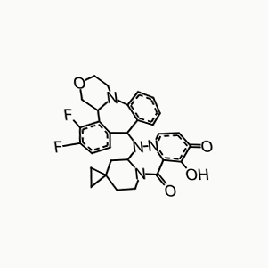 O=C1c2c(O)c(=O)ccn2N(C2c3ccccc3N3CCOCC3c3c2ccc(F)c3F)C2CC3(CCN12)CC3